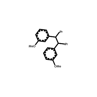 COc1cccc(C(C(C)C)C(c2cccc(OC)c2)C(C)C)c1